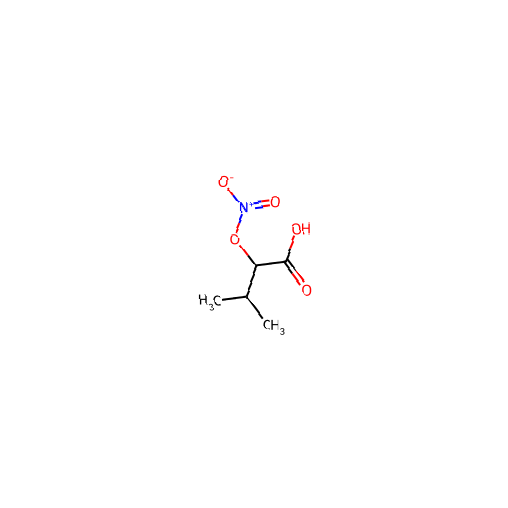 CC(C)C(O[N+](=O)[O-])C(=O)O